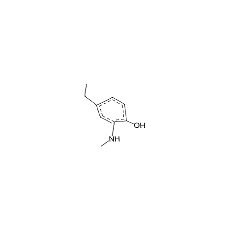 CCc1ccc(O)c(NC)c1